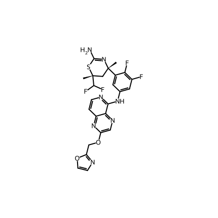 C[C@]1(C(F)F)C[C@@](C)(c2cc(Nc3nccc4nc(OCc5ncco5)cnc34)cc(F)c2F)N=C(N)S1